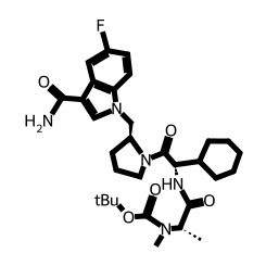 C[C@@H](C(=O)N[C@H](C(=O)N1CCC[C@H]1Cn1cc(C(N)=O)c2cc(F)ccc21)C1CCCCC1)N(C)C(=O)OC(C)(C)C